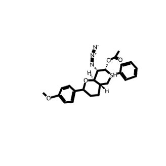 COc1ccc(C2CC[C@H]3C[SH](c4ccccc4)[C@@H](OC(C)=O)[C@@H](N=[N+]=[N-])[C@@H]3O2)cc1